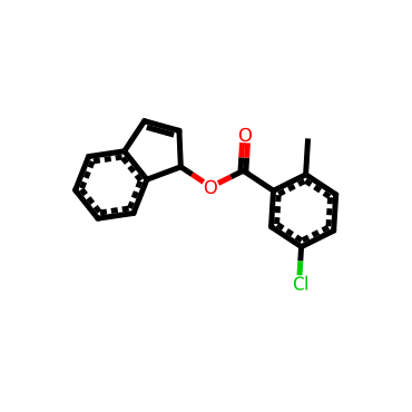 Cc1ccc(Cl)cc1C(=O)OC1C=Cc2ccccc21